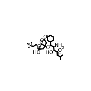 CC(C)C[C@H](O)[C@H](O)[C@@H](N)C(OC(CC(=O)O)(CC(=O)O)C(=O)OCC[N+](C)(C)C)C1CCCCC1